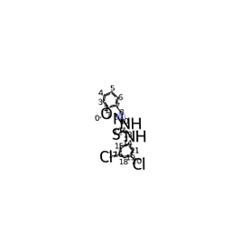 COc1ccccc1/C=N/NC(=S)Nc1cc(Cl)cc(Cl)c1